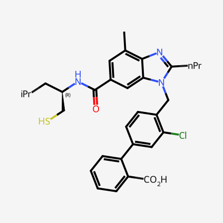 CCCc1nc2c(C)cc(C(=O)N[C@@H](CS)CC(C)C)cc2n1Cc1ccc(-c2ccccc2C(=O)O)cc1Cl